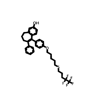 Oc1ccc2c(c1)CCCC(c1ccccc1)=C2c1ccc(OCCCCCSCCCC(F)(F)C(F)(F)F)cc1